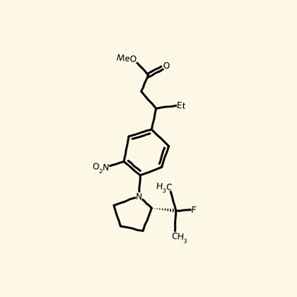 CCC(CC(=O)OC)c1ccc(N2CCC[C@H]2C(C)(C)F)c([N+](=O)[O-])c1